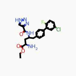 CCOC(=O)C(N)CC(Cc1ccc(-c2cc(Cl)ccc2F)cc1)NC(=O)c1c[nH]nn1